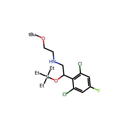 CC[Si](CC)(CC)OC(CNCCOC(C)(C)C)c1c(Cl)cc(F)cc1Cl